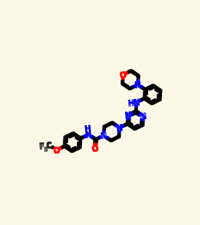 O=C(Nc1ccc(OC(F)(F)F)cc1)N1CCN(c2ccnc(Nc3ccccc3N3CCOCC3)n2)CC1